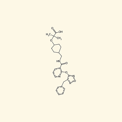 CC(C)(OC1CCC(CNC(=O)c2cccnc2Oc2nonc2Cc2ccccc2)CC1)C(=O)O